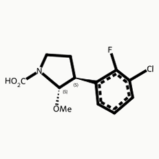 CO[C@H]1[C@H](c2cccc(Cl)c2F)CCN1C(=O)O